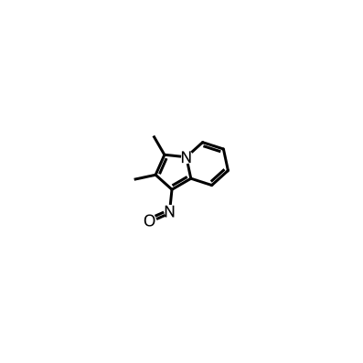 Cc1c(N=O)c2ccccn2c1C